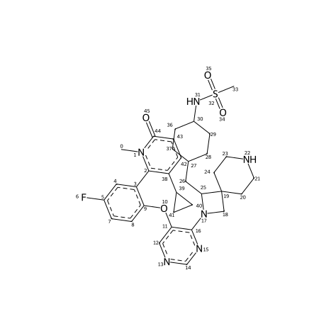 Cn1c(-c2cc(F)ccc2Oc2cncnc2N2CC3(CCNCC3)C2CC2CCC(NS(C)(=O)=O)CC2)c(C2CC2)ccc1=O